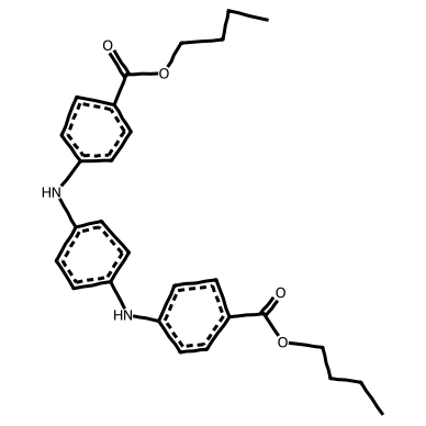 CCCCOC(=O)c1ccc(Nc2ccc(Nc3ccc(C(=O)OCCCC)cc3)cc2)cc1